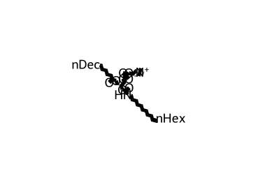 CCCCCC/C=C\CCCCCCCCCNC(=O)O[C@H](COC(=O)CCCCCCCCCCCCCCC)COP(=O)([O-])OCC[N+](C)(C)C